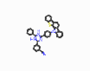 N#Cc1cccc(C2N=C(c3ccc(-n4c5ccccc5c5ccc6c7ccccc7sc6c54)cc3)NC(c3ccccc3)N2)c1